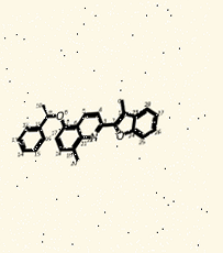 Cc1c(-c2ccc3c(O[C@H](C)c4ccccc4)ccc(C)c3n2)oc2ccccc12